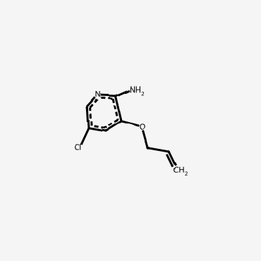 C=CCOc1cc(Cl)cnc1N